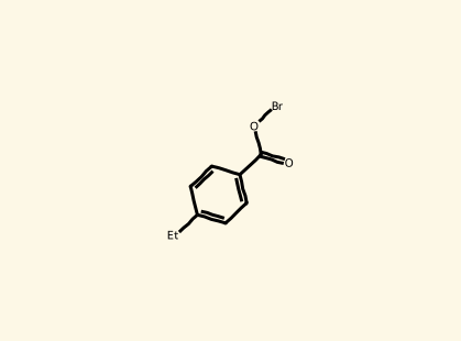 CCc1ccc(C(=O)OBr)cc1